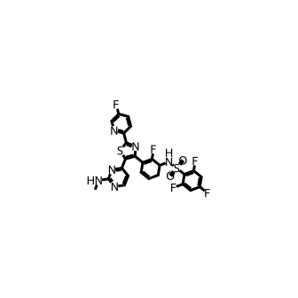 CNc1nccc(-c2sc(-c3ccc(F)cn3)nc2C2=C(F)C(NS(=O)(=O)c3c(F)cc(F)cc3F)CC=C2)n1